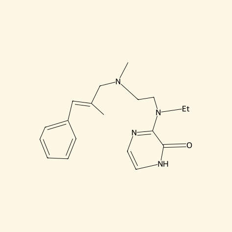 CCN(CCN(C)C/C(C)=C/c1ccccc1)c1ncc[nH]c1=O